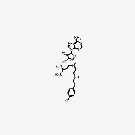 Nc1ncnc2c1ncn2C1O[C@H](CN(CCNCCc2ccc(Cl)cc2)CC[C@H](N)C(=O)O)[C@@H](O)[C@H]1O